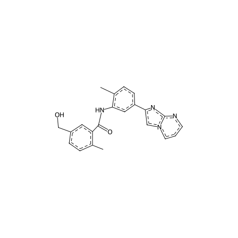 Cc1ccc(-c2cn3cccnc3n2)cc1NC(=O)c1cc(CO)ccc1C